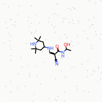 CC(O)NC(=O)C(C#N)=CNC1CC(C)(C)NC(C)(C)C1